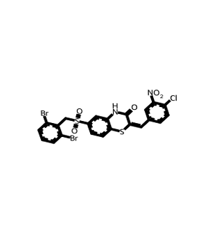 O=C1Nc2cc(S(=O)(=O)Cc3c(Br)cccc3Br)ccc2S/C1=C/c1ccc(Cl)c([N+](=O)[O-])c1